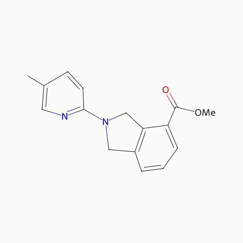 COC(=O)c1cccc2c1CN(c1ccc(C)cn1)C2